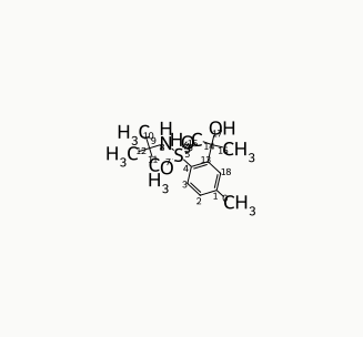 Cc1ccc(S(=O)(=O)NC(C)(C)C)c(C(C)(C)O)c1